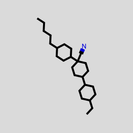 CCCCCC1CCC(C2(C#N)CCC(C3CCC(CC)CC3)CC2)CC1